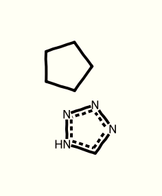 C1CCCC1.c1nnn[nH]1